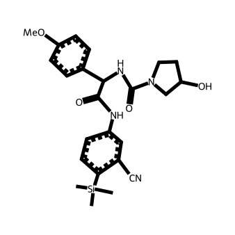 COc1ccc(C(NC(=O)N2CCC(O)C2)C(=O)Nc2ccc([Si](C)(C)C)c(C#N)c2)cc1